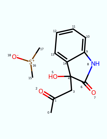 CC(=O)CC1(O)C(=O)Nc2ccccc21.C[S+](C)[O-]